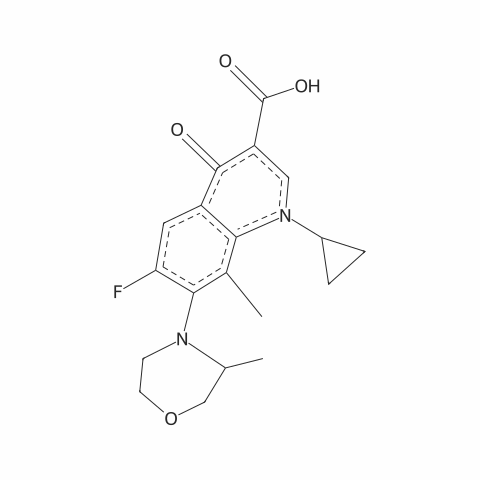 Cc1c(N2CCOCC2C)c(F)cc2c(=O)c(C(=O)O)cn(C3CC3)c12